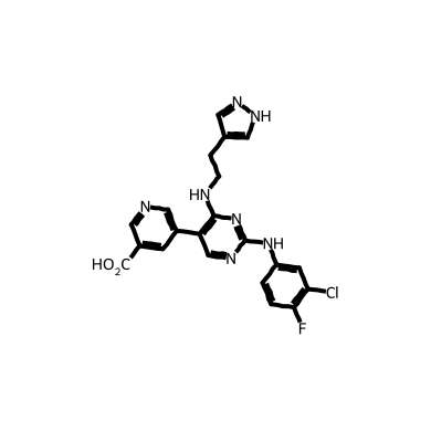 O=C(O)c1cncc(-c2cnc(Nc3ccc(F)c(Cl)c3)nc2NCCc2cn[nH]c2)c1